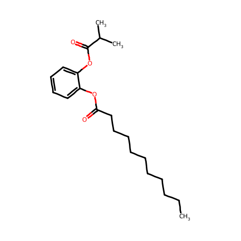 CCCCCCCCCCC(=O)Oc1ccccc1OC(=O)C(C)C